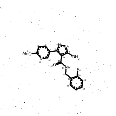 COc1ccc(-c2noc(N)c2C(=O)NCc2ccccc2F)cn1